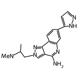 CNC(C)Cn1cc2c(N)nc3cc(-c4ccn[nH]4)ccc3c2n1